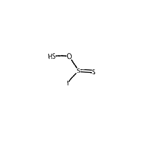 S=S(I)OS